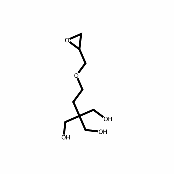 OCC(CO)(CO)CCOCC1CO1